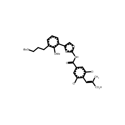 COc1c(CCCOCC(C)C)cccc1-c1csc(NC(=O)c2cc(Cl)c(C=C(C)C(=O)O)c(Cl)c2)n1